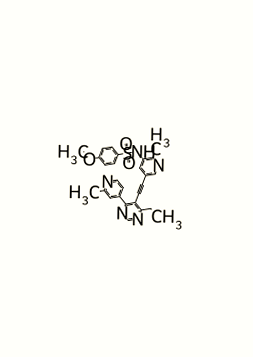 CCc1ncnc(-c2ccnc(C)c2)c1C#Cc1cnc(C)c(NS(=O)(=O)c2ccc(OC)cc2)c1